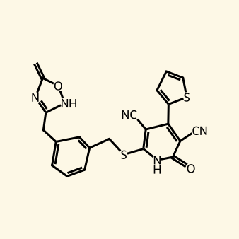 C=C1N=C(Cc2cccc(CSc3[nH]c(=O)c(C#N)c(-c4cccs4)c3C#N)c2)NO1